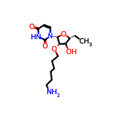 CC[C@H]1O[C@@H](n2ccc(=O)[nH]c2=O)[C@@H](OCCCCCCN)C1O